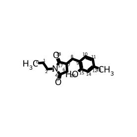 CCCN1C(=O)CC(Cc2ccc(C)cc2O)C1=O